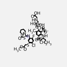 CCC(CC)Nc1c([N+](=O)[O-])cc(C)c(C)c1[N+](=O)[O-].COC(=O)CSc1cc(/N=c2\sc(=O)n3n2CCCC3)c(F)cc1Cl.O=C(O)CNCP(=O)(O)O